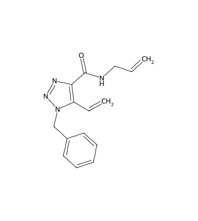 C=CCNC(=O)c1nnn(Cc2ccccc2)c1C=C